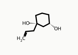 C=CC[C@@]1(O)CCC[C@H](O)C1